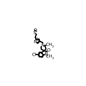 CC1CC2(CCN1Cc1cnn(CC[S+]=O)c1)C(=O)N(C)c1ccc(Cl)cc12